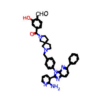 Nc1ncccc1-c1nc2ccc(-c3ccccc3)nc2n1-c1ccc(CN2CCC3(CCN(C(=O)c4ccc(C=O)c(O)c4)C3)C2)cc1